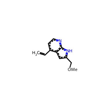 C=Cc1ccnc2[nH]c(COC)cc12